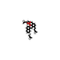 c1cc2ccc(CCC3CO3)c(Cc3c(OC4CCO4)ccc4ccc(OCC5CO5)cc34)c2cc1OCC1CO1